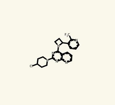 FC(F)(F)c1ncccc1C1CCN1c1nc(N2CCC(Cl)CC2)nc2ncccc12